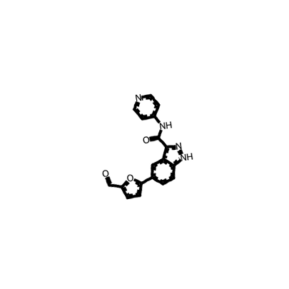 O=Cc1ccc(-c2ccc3[nH]nc(C(=O)Nc4ccncc4)c3c2)o1